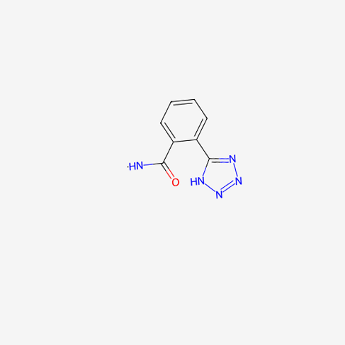 [NH]C(=O)c1ccccc1-c1nnn[nH]1